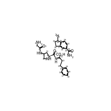 NCC(=O)NC1CN[C@H](C(=O)N[C@H](CCc2ccccc2)C(=O)O)C1.[2H]C1CCc2cc(C(N)=O)ccc21